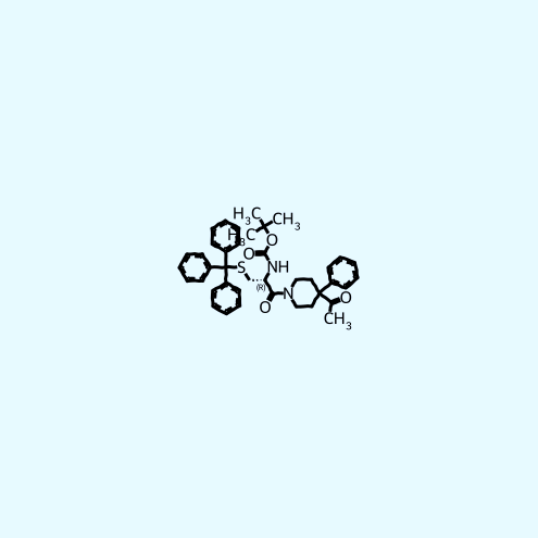 CC(=O)C1(c2ccccc2)CCN(C(=O)[C@H](CSC(c2ccccc2)(c2ccccc2)c2ccccc2)NC(=O)OC(C)(C)C)CC1